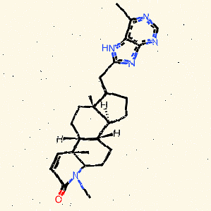 Cc1ncnc2nc(CC3CC[C@H]4[C@@H]5CCC6N(C)C(=O)C=C[C@]6(C)[C@@H]5CC[C@]34C)[nH]c12